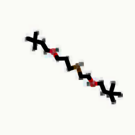 CC(C)(C)CCOCCCSCCOCCC(C)(C)C